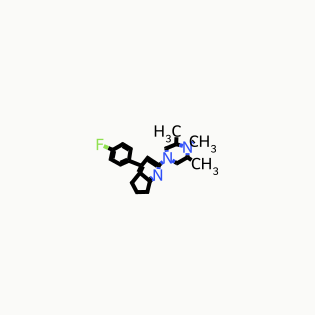 CC1CN(c2cc(-c3ccc(F)cc3)c3c(n2)CCC3)CC(C)N1C